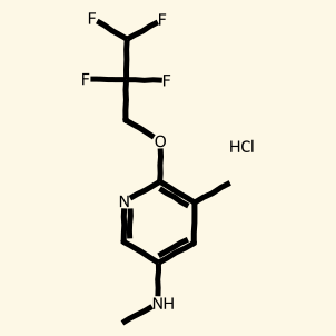 CNc1cnc(OCC(F)(F)C(F)F)c(C)c1.Cl